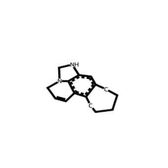 C1=Cc2c3c(cc4c2N(C1)CN4)CCCCC3